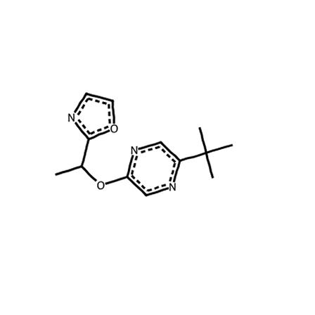 CC(Oc1cnc(C(C)(C)C)cn1)c1ncco1